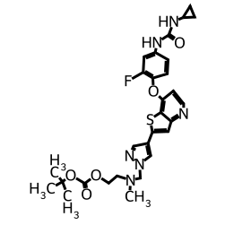 CN(CCOC(=O)OC(C)(C)C)Cn1cc(-c2cc3nccc(Oc4ccc(NC(=O)NC5CC5)cc4F)c3s2)cn1